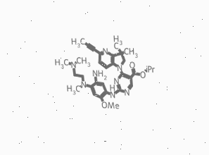 CC#Cc1ccc2c(n1)C(C)(C)CN2c1nc(Nc2cc(N)c(N(C)CCN(C)C)cc2OC)ncc1C(=O)OC(C)C